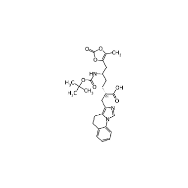 Cc1oc(=O)oc1CC(CC[C@@H](Cc1ncn2c1CCc1ccccc1-2)C(=O)O)NC(=O)OC(C)(C)C